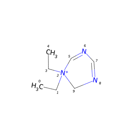 CC[N+]1(CC)C=NC=NC1